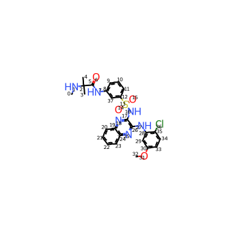 CNC(C)(C)C(=O)Nc1cccc(S(=O)(=O)Nc2nc3ccccc3nc2Nc2cc(OC)ccc2Cl)c1